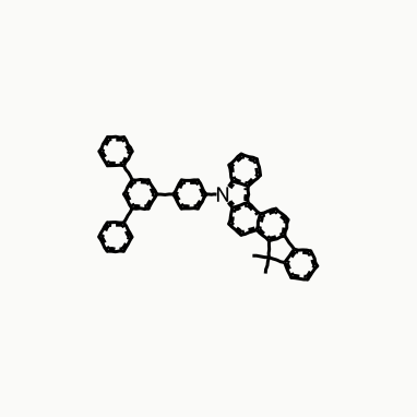 CC1(C)c2ccccc2-c2ccc3c(ccc4c3c3ccccc3n4-c3ccc(-c4cc(-c5ccccc5)cc(-c5ccccc5)c4)cc3)c21